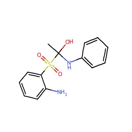 CC(O)(Nc1ccccc1)S(=O)(=O)c1ccccc1N